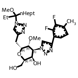 CCCCCCCC(CC)(OC)n1cc(C[C@H]2O[C@H](CO)[C@H](O)[C@H](n3cc(-c4ccc(C)c(F)c4F)nn3)[C@H]2OC)nn1